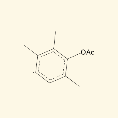 CC(=O)Oc1c(C)c[c]c(C)c1C